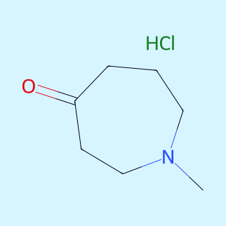 CN1CCCC(=O)CC1.Cl